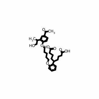 CC(=O)c1ccc(OCCCCCOc2ccccc2C(CCCC(=O)O)CCCC(=O)O)c(C(C)CO)c1